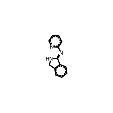 c1ccc(N=C2NCc3ccccc32)nc1